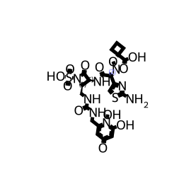 Nc1nc(/C(=N/OC2(C(=O)O)CCC2)C(=O)N[C@@H]2C(=O)N(S(=O)(=O)O)[C@@H]2CNC(=O)NCc2cc(=O)cc(O)n2O)cs1